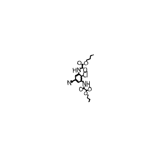 CCCCOC(=O)C(=O)Nc1cc(C#N)cc(NC(=O)C(=O)OCCCC)c1Cl